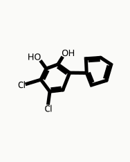 Oc1c(-c2ccccc2)cc(Cl)c(Cl)c1O